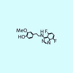 COc1cc(CCNc2ncnc3c(F)ccc(F)c23)ccc1O